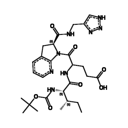 CC[C@H](C)[C@H](NC(=O)OC(C)(C)C)C(=O)NC(CCC(=O)O)C(=O)N1c2ncccc2C[C@H]1C(=O)NCc1c[nH]nn1